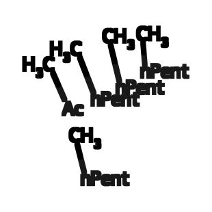 CC(C)=O.CCCCCC.CCCCCC.CCCCCC.CCCCCC